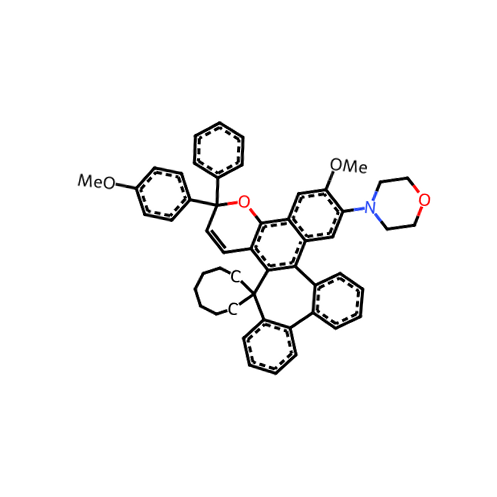 COc1ccc(C2(c3ccccc3)C=Cc3c4c(c5cc(N6CCOCC6)c(OC)cc5c3O2)-c2ccccc2-c2ccccc2C42CCCCCCC2)cc1